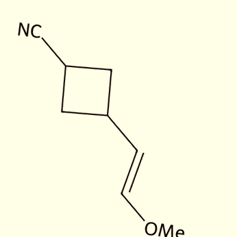 COC=CC1CC(C#N)C1